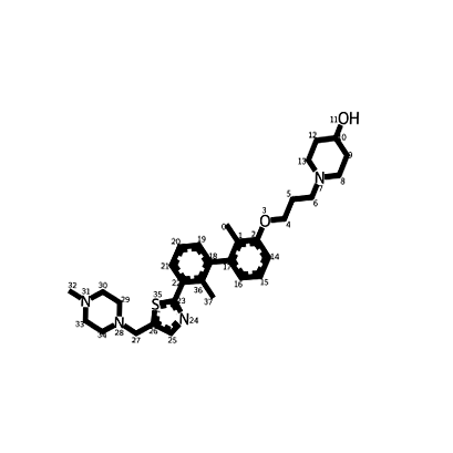 Cc1c(OCCCN2CCC(O)CC2)cccc1-c1cccc(-c2ncc(CN3CCN(C)CC3)s2)c1C